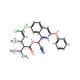 CC(C)C(C(=O)OC(C#N)c1nc(Oc2ccccc2)cc2ccccc12)C(C)C=C(Cl)Cl